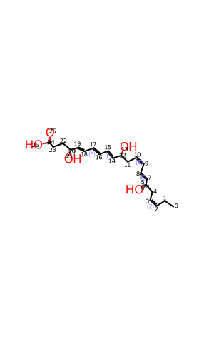 CC/C=C\C[C@@H](O)/C=C/C=C\CC(O)/C=C/C=C/C=C[C@@H](O)CCC(=O)O